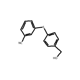 N#Cc1cccc(Sc2ccc(CO)cc2)c1